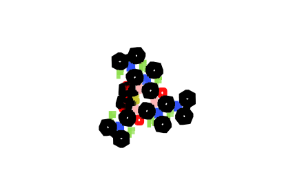 Fc1cccc(F)c1N1c2cc3c(cc2B2c4cc5c(cc4Oc4cc(-n6c7ccccc7c7ccccc76)cc1c42)N(c1c(F)cccc1F)c1cc(-n2c4c(F)cccc4c4cccc(F)c42)cc2c1B5c1sc4ccccc4c1O2)B1c2sc4ccccc4c2Oc2cc(-n4c5c(F)cccc5c5cccc(F)c54)cc(c21)O3